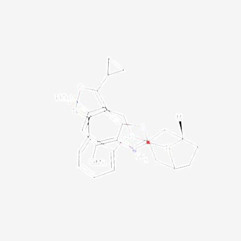 COc1cc(C(=O)O)cc2sc(N3C4CC[C@H]3CC(OCc3c(-c5ccccc5OC(F)(F)F)noc3C3CC3)C4)nc12